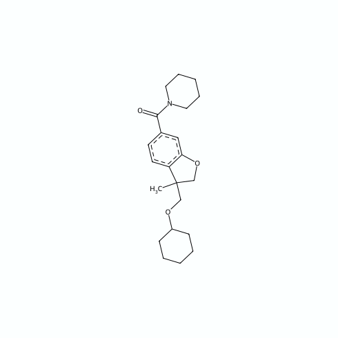 CC1(COC2CCCCC2)COc2cc(C(=O)N3CCCCC3)ccc21